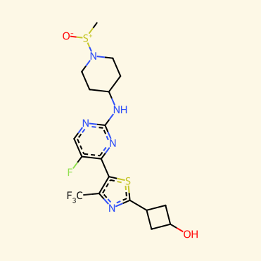 C[S+]([O-])N1CCC(Nc2ncc(F)c(-c3sc(C4CC(O)C4)nc3C(F)(F)F)n2)CC1